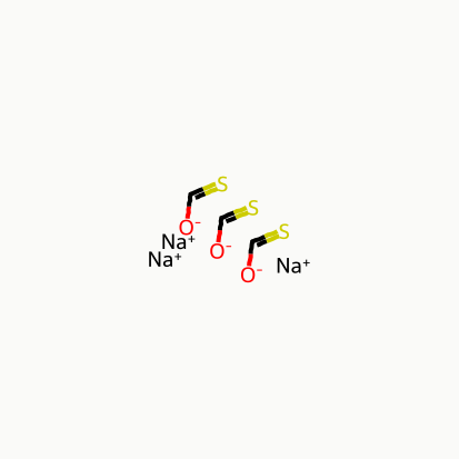 [Na+].[Na+].[Na+].[O-]C=S.[O-]C=S.[O-]C=S